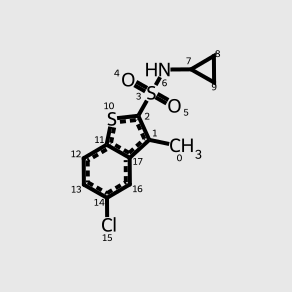 Cc1c(S(=O)(=O)NC2CC2)sc2ccc(Cl)cc12